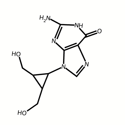 Nc1nc2c(ncn2C2C(CO)C2CO)c(=O)[nH]1